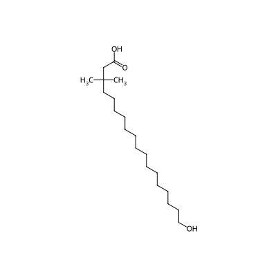 CC(C)(CCCCCCCCCCCCCCCO)CC(=O)O